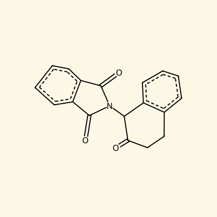 O=C1CCc2ccccc2C1N1C(=O)c2ccccc2C1=O